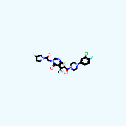 Cc1c(C(=O)N2CCN(c3ccc(F)c(Cl)c3)CC2)sc2ncn(CC(=O)N3CCC(F)C3)c(=O)c12